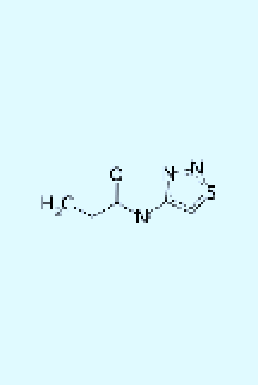 CCC(=O)[N]c1csnn1